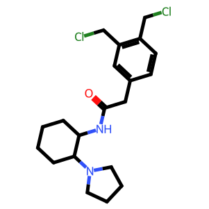 O=C(Cc1ccc(CCl)c(CCl)c1)NC1CCCCC1N1CCCC1